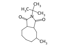 CC1CCCCC2C(=O)N(C(C)(C)C)C(=O)C2C1